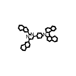 c1ccc2cc(-c3cc(-c4ccc(-n5c6ccc7ccccc7c6c6c7ccccc7ccc65)cc4)nc(-c4ccc5ccccc5c4)n3)ccc2c1